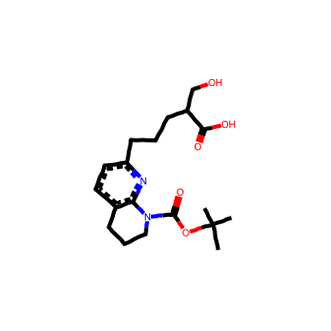 CC(C)(C)OC(=O)N1CCCc2ccc(CCCC(CO)C(=O)O)nc21